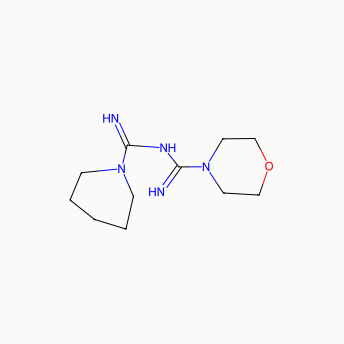 N=C(NC(=N)N1CCOCC1)N1CCCCC1